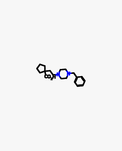 O=C(O)C1(CCN2CCN(Cc3ccccc3)CC2)CCCC1